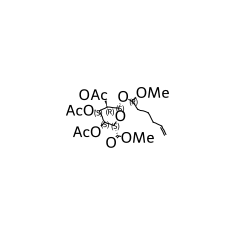 C=CCCC[C@H](OC)O[C@@H]1O[C@H](C(=O)OC)[C@@H](OC(C)=O)[C@H](OC(C)=O)[C@H]1OC(C)=O